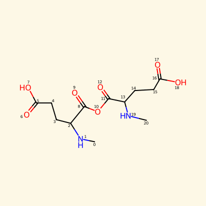 CNC(CCC(=O)O)C(=O)OC(=O)C(CCC(=O)O)NC